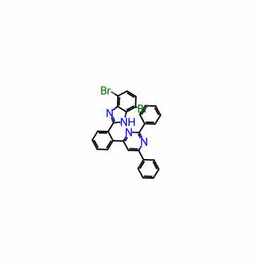 Brc1ccc(Br)c2[nH]c(-c3ccccc3-c3cc(-c4ccccc4)nc(-c4ccccc4)n3)nc12